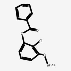 CCCCCCOc1cccc(OC(=O)c2ccccc2)c1Cl